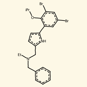 CCN(Cc1ccccc1)Cc1ccc(-c2cc(Br)cc(Br)c2OC(C)C)[nH]1